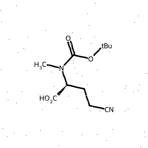 CN(C(=O)OC(C)(C)C)[C@@H](CCC#N)C(=O)O